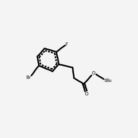 CC(C)(C)OC(=O)CCc1cc(Br)ccc1F